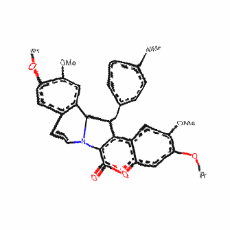 CNc1ccc(C2c3c(c(=O)oc4cc(OC(C)C)c(OC)cc34)N3C=Cc4cc(OC(C)C)c(OC)cc4C23)cc1